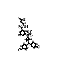 Cc1cc(NC(=O)c2cc(F)cc(N(C3CN(C(c4ccc(Cl)cc4)c4ccc(Cl)cc4)C3)S(C)(=O)=O)c2)on1